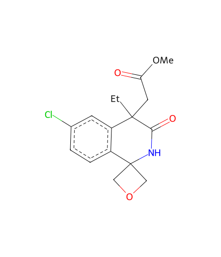 CCC1(CC(=O)OC)C(=O)NC2(COC2)c2ccc(Cl)cc21